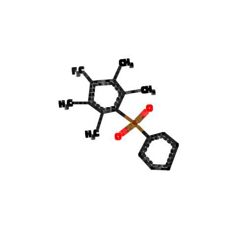 Cc1c(C)c(S(=O)(=O)c2ccccc2)c(C)c(C)c1C(F)(F)F